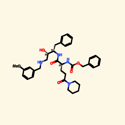 COc1cccc(CNC[C@H](O)[C@H](Cc2ccccc2)NC(=O)[C@@H](CCC(=O)N2CCCCC2)NC(=O)OCc2ccccc2)c1